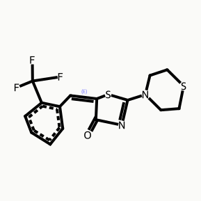 O=C1N=C(N2CCSCC2)S/C1=C/c1ccccc1C(F)(F)F